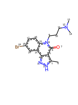 Cc1[nH]nc2c1c(=O)n(CCCN(C)C)c1ccc(Br)cc21